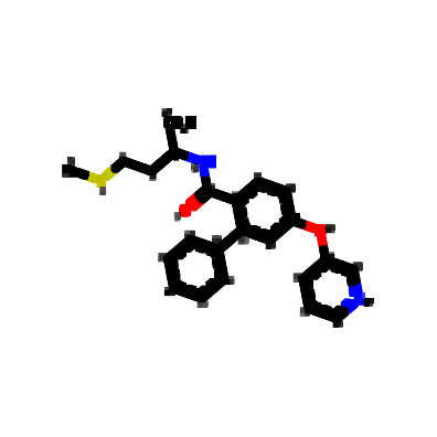 CCSCCC(NC(=O)c1ccc(Oc2cccnc2)cc1-c1ccccc1)C(=O)O